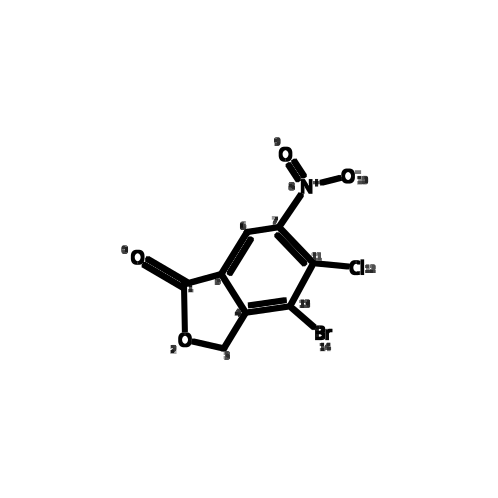 O=C1OCc2c1cc([N+](=O)[O-])c(Cl)c2Br